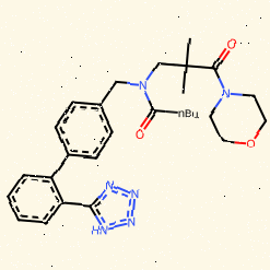 CCCCC(=O)N(Cc1ccc(-c2ccccc2-c2nnn[nH]2)cc1)CC(C)(C)C(=O)N1CCOCC1